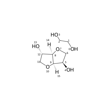 OCCO.O[C@@H]1CO[C@H]2[C@@H]1OC[C@@H]2O